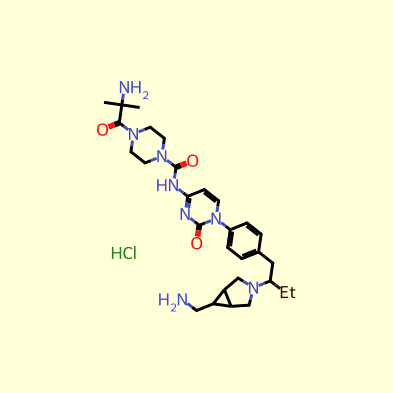 CCC(Cc1ccc(-n2ccc(NC(=O)N3CCN(C(=O)C(C)(C)N)CC3)nc2=O)cc1)N1CC2C(CN)C2C1.Cl